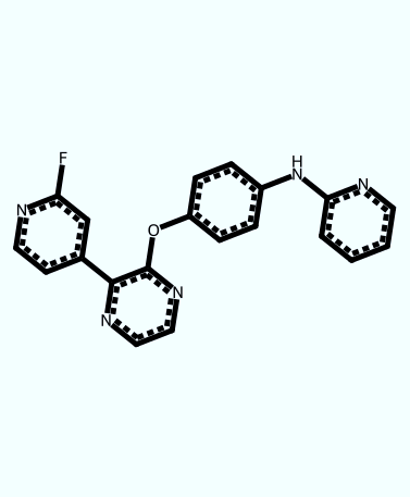 Fc1cc(-c2nccnc2Oc2ccc(Nc3ccccn3)cc2)ccn1